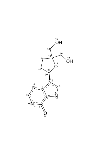 O=c1[nH]cnc2c1ncn2[C@H]1CCC(CO)(CO)O1